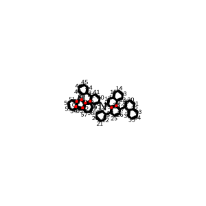 c1ccc(-c2cc(N(c3ccc4ccccc4c3)c3ccccc3-c3ccc(-c4cccc5ccccc45)cc3)ccc2-c2ccccc2-n2c3ccccc3c3ccccc32)cc1